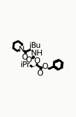 CC[C@H](C)[C@H](NC(=O)O[C@@H](CC(C)C)C(=O)OCc1ccccc1)C(=O)N1CCCCC1